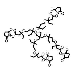 CCC(C)(CCOC(C)(CC)CC(=O)ON1C(=O)CCC1=O)OCC(COC(C)(CC)CCOC(C)(CC)CC(=O)ON1C(=O)CCC1=O)(COC(C)(CC)CCOC(C)(CC)CC(=O)ON1C(=O)CCC1=O)COC(C)(CC)CCOC(C)(CC)CC(=O)ON1C(=O)CCC1=O